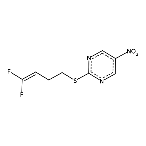 O=[N+]([O-])c1cnc(SCCC=C(F)F)nc1